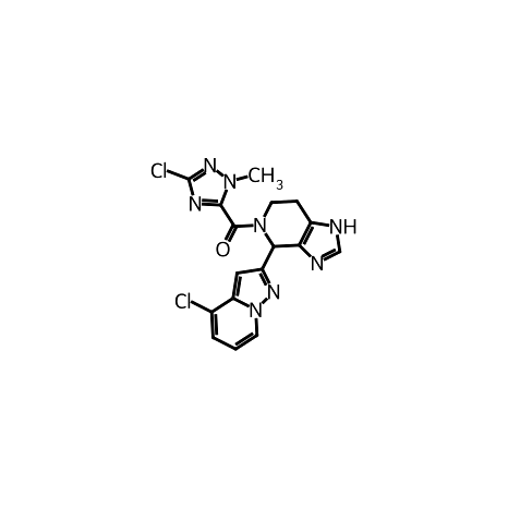 Cn1nc(Cl)nc1C(=O)N1CCc2[nH]cnc2C1c1cc2c(Cl)cccn2n1